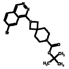 CC(C)(C)OC(=O)N1CCC2(CC1)CN(c1nncc3ccc(Br)cc13)C2